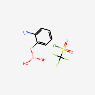 Nc1ccccc1OB(O)O.O=S(=O)(Cl)C(F)(F)F